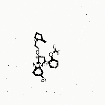 C=C1CCCN1CCO[C@@H]1C[C@H](c2ccccc2OC(F)F)n2c1nc1ccc(Br)cc12